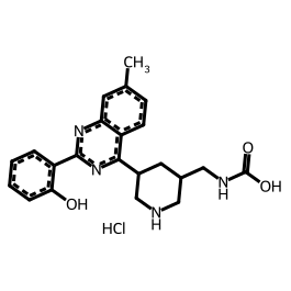 Cc1ccc2c(C3CNCC(CNC(=O)O)C3)nc(-c3ccccc3O)nc2c1.Cl